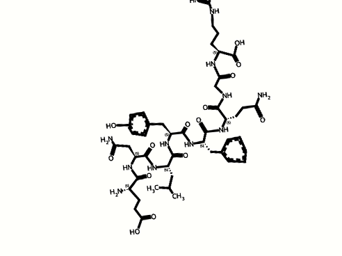 CC(C)C[C@H](NC(=O)[C@H](CC(N)=O)NC(=O)[C@@H](N)CCC(=O)O)C(=O)N[C@@H](Cc1ccc(O)cc1)C(=O)N[C@@H](Cc1ccccc1)C(=O)N[C@@H](CCC(N)=O)C(=O)NCC(=O)N[C@@H](CCCNC(=N)N)C(=O)O